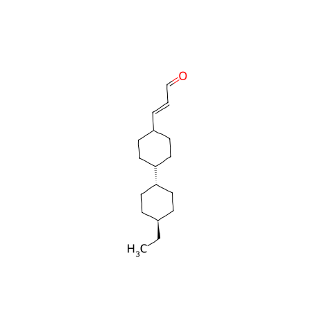 CC[C@H]1CC[C@H](C2CCC(C=CC=O)CC2)CC1